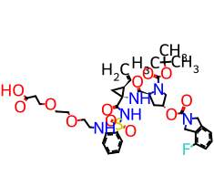 C=C[C@@H]1C[C@]1(NC(=O)[C@@H]1C[C@@H](OC(=O)N2Cc3cccc(F)c3C2)CN1C(=O)OC(C)(C)C)C(=O)NS(=O)(=O)c1ccccc1NCCOCCOCCC(=O)O